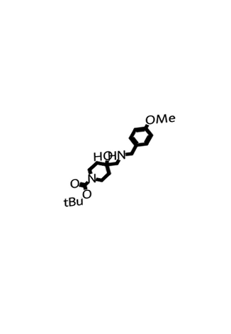 COc1ccc(CNCC2(O)CCN(C(=O)OC(C)(C)C)CC2)cc1